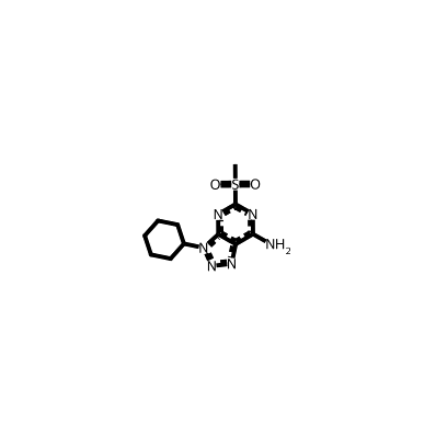 CS(=O)(=O)c1nc(N)c2nnn(C3CCCCC3)c2n1